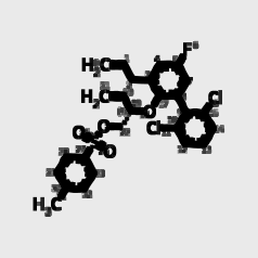 C=CCc1cc(F)cc(-c2c(Cl)cccc2Cl)c1O[C@@H](C=C)COS(=O)(=O)c1ccc(C)cc1